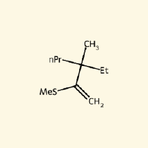 C=C(SC)C(C)(CC)CCC